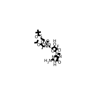 CC(C)OC(=O)[C@H](C)NP(=O)(OCCSC(=O)C(C)(C)C)OC[C@H]1O[C@@H](n2cnc3c(=O)[nH]c(N)nc32)[C@](F)(Cl)[C@@H]1O